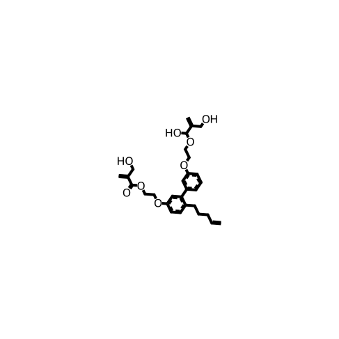 C=CCCCc1ccc(OCCOC(=O)C(=C)CO)cc1-c1cccc(OCCOC(O)C(=C)CO)c1